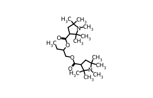 CCC(COC(=O)C1CC(C)(C)N(C)C1(C)C)OC(=O)C1CC(C)(C)N(C)C1(C)C